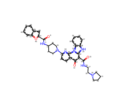 O=C(NC1CCN(c2ccc3c(=O)c(C(=O)NCCN4CCCC4)c4[nH]c5ccccc5n4c3n2)CC1)c1cc2ccccc2o1